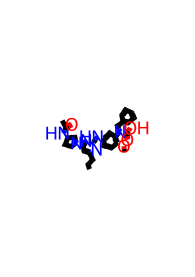 CCCc1cc(N2CC[C@H](NC(C)=O)C2)nc(Nc2ccc(OC)c(N(Cc3ccccc3)C(=O)O)c2)n1